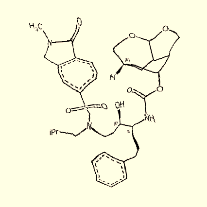 CC(C)CN(C[C@@H](O)[C@H](Cc1ccccc1)NC(=O)OC1C2COC3OC[C@H]1CC32)S(=O)(=O)c1ccc2c(c1)CN(C)C2=O